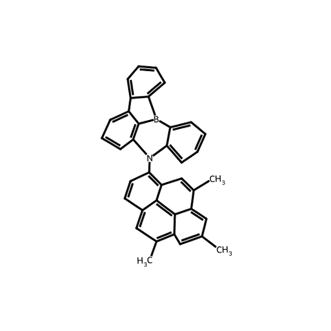 Cc1cc2c(C)cc3ccc(N4c5ccccc5B5c6ccccc6-c6cccc4c65)c4cc(C)c(c1)c2c34